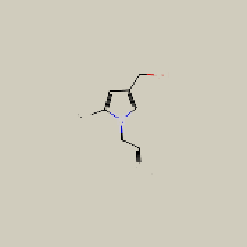 C=CCn1cc(CO)cc1C#N